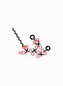 CCCCCCCCCCCCOCC(CO)(CO)COC(=O)C(C)(COC(=O)C1(C)COC(c2ccccc2)OC1)COC(=O)C1(C)COC(c2ccccc2)OC1